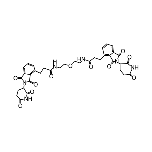 O=C(CCc1cccc2c1C(=O)N(C1CCC(=O)NC1=O)C2=O)NCCOCCNC(=O)CCc1cccc2c1C(=O)N(C1CCC(=O)NC1=O)C2=O